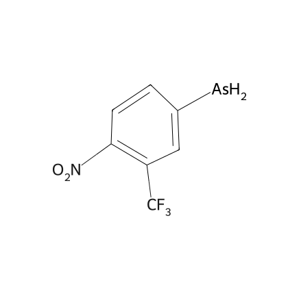 O=[N+]([O-])c1ccc([AsH2])cc1C(F)(F)F